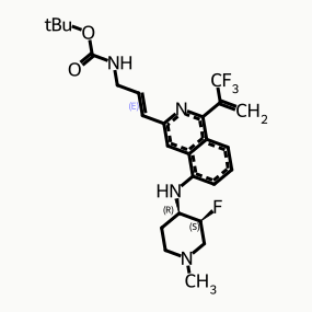 C=C(c1nc(/C=C/CNC(=O)OC(C)(C)C)cc2c(N[C@@H]3CCN(C)C[C@@H]3F)cccc12)C(F)(F)F